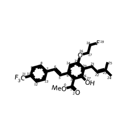 COC(=O)c1c(C=Cc2ccc(C(F)(F)F)cc2)cc(OCCF)c(CC=C(C)C)c1O